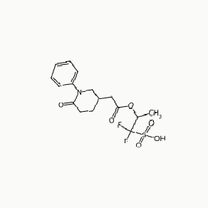 CC(OC(=O)CC1CCC(=O)N(c2ccccc2)C1)C(F)(F)S(=O)(=O)O